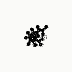 O=S(=O)(O)OCCOC(COc1ccccc1)COC(COc1ccccc1)COC(COc1ccccc1)COC(COc1ccccc1)COC(COc1ccccc1)CN(Cc1ccccc1)CC(COc1ccccc1)OCC(COc1ccccc1)OCC(COc1ccccc1)OCC(COc1ccccc1)OCC(COc1ccccc1)OCCOS(=O)(=O)O